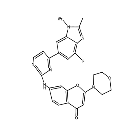 Cc1nc2c(F)cc(-c3ccnc(Nc4ccc5c(=O)cc(N6CCOCC6)oc5c4)n3)cc2n1C(C)C